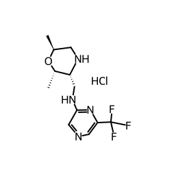 C[C@@H]1O[C@@H](C)CN[C@@H]1CNc1cncc(C(F)(F)F)n1.Cl